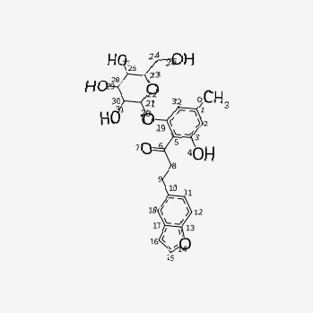 Cc1cc(O)c(C(=O)CCc2ccc3occc3c2)c(OC2OC(CO)C(O)C(O)C2O)c1